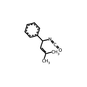 CC(C)=CC(N=C=O)c1ccccc1